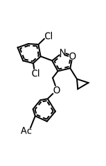 CC(=O)c1ccc(OCc2c(-c3c(Cl)cccc3Cl)noc2C2CC2)cc1